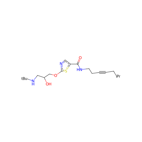 CC(C)CC#CCCNC(=O)c1cnc(OCC(O)CNC(C)(C)C)s1